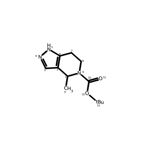 CC1c2cn[nH]c2CCN1C(=O)OC(C)(C)C